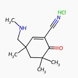 CNCC1(C)C=C(C#N)C(=O)C(C)(C)C1.Cl